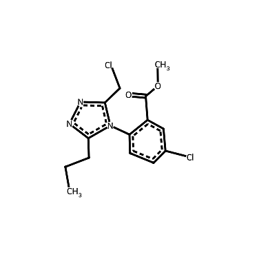 CCCc1nnc(CCl)n1-c1ccc(Cl)cc1C(=O)OC